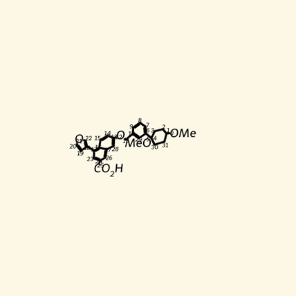 COC1CCC(OC)(c2cccc(COc3ccc4c(-c5ccoc5)cc(C(=O)O)cc4c3)c2)CC1